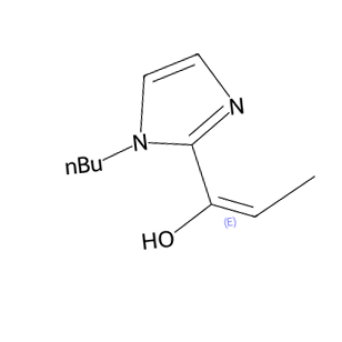 C/C=C(/O)c1nccn1CCCC